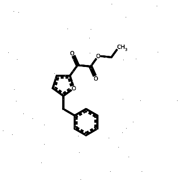 CCOC(=O)C(=O)c1ccc(Cc2ccccc2)o1